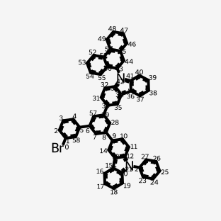 Brc1cccc(-c2cc(-c3ccc4c(c3)c3ccccc3n4-c3ccccc3)cc(-c3ccc4c(c3)c3ccccc3n4-c3cc4ccccc4c4ccccc34)c2)c1